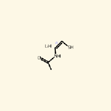 CC(=O)N/C=C\S.[LiH]